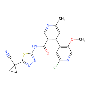 COc1cnc(Cl)cc1-c1cc(C)ncc1C(=O)Nc1nnc(C2(C#N)CC2)s1